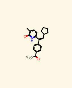 COC(=O)c1ccc(C(=CC2CCCC2)c2ccc(C)c(=O)[nH]2)cc1